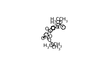 CC(C)(C)OC(=O)N1CCCC[C@@H]1COc1ccc2c(c1)CN(C1CCC(=O)N(COCC[Si](C)(C)C)C1=O)C2=O